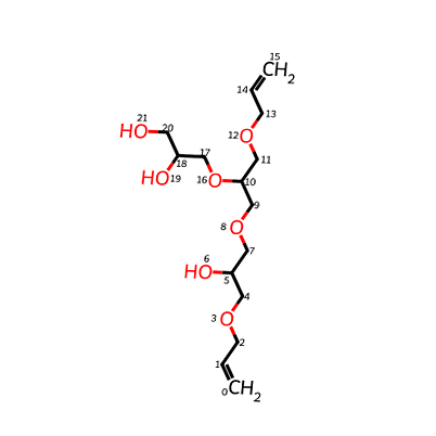 C=CCOCC(O)COCC(COCC=C)OCC(O)CO